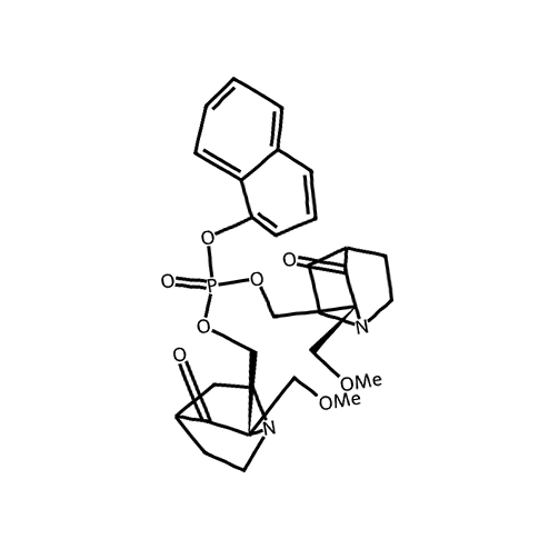 COC[C@@]1(COP(=O)(OC[C@]2(COC)C(=O)C3CCN2CC3)Oc2cccc3ccccc23)C(=O)C2CCN1CC2